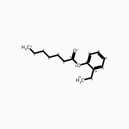 CCCCCCC(=O)Oc1ccccc1CC